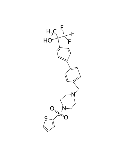 CC(O)(c1ccc(-c2ccc(CN3CCN(S(=O)(=O)c4cccs4)CC3)cc2)cc1)C(F)(F)F